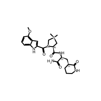 COc1cccc2[nH]c(C(=O)N3CS(C)(C)C[C@H]3C(=O)N[C@@H](C[C@@H]3CCCNC3=O)C(N)=O)cc12